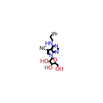 CC(C)CCNc1ncnc2c1c(C#N)cn2[C@@H]1OC(CO)C(O)[C@@H]1O